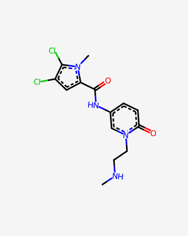 CNCCn1cc(NC(=O)c2cc(Cl)c(Cl)n2C)ccc1=O